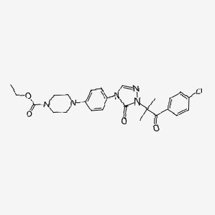 CCOC(=O)N1CCN(c2ccc(-n3cnn(C(C)(C)C(=O)c4ccc(Cl)cc4)c3=O)cc2)CC1